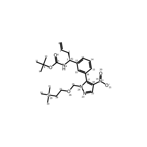 C=CC[C@H](NC(=O)OC(C)(C)C)c1cccc(-c2c([N+](=O)[O-])cnn2COCC[Si](C)(C)C)c1